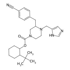 CC(C)(C)C1CCCCC1OC(=O)N1CCN(Cc2cnc[nH]2)C(Cc2ccc(C#N)cc2)C1